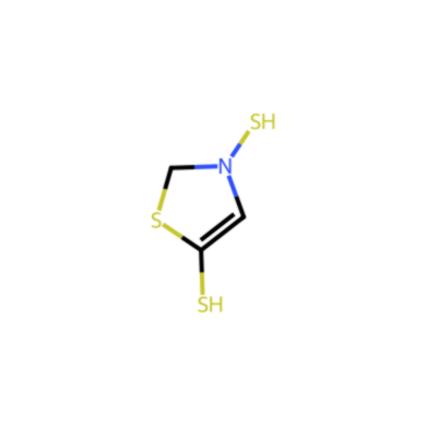 SC1=CN(S)CS1